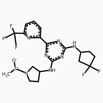 C[S+]([O-])N1CCC(Nc2nc(NC3CCC(F)(F)C3)nc(-c3cccc(C(F)(F)F)n3)n2)C1